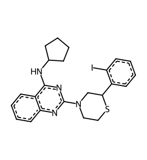 Ic1ccccc1C1CN(c2nc(NC3CCCC3)c3ccccc3n2)CCS1